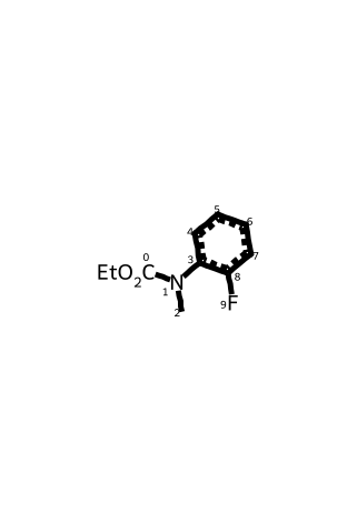 [CH2]COC(=O)N(C)c1ccccc1F